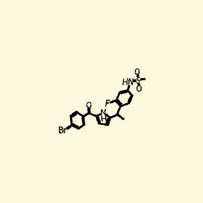 CC(c1ccc(C(=O)c2ccc(Br)cc2)[nH]1)c1ccc(NS(C)(=O)=O)cc1F